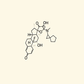 C[C@H]1C[C@H]2[C@@H]3CCC4=CC(=O)C=C[C@]4(C)[C@@]3(F)[C@@H](O)C[C@]2(C)[C@@]1(OC(=O)N(C)C1CC12CCCC2)C(=O)CO